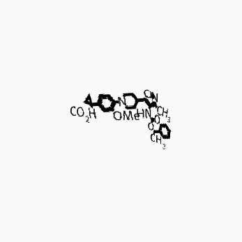 COc1cc(C2(C(=O)O)CC2)ccc1N1CCC(c2onc(C)c2NC(=O)O[C@H](C)c2ccccc2)CC1